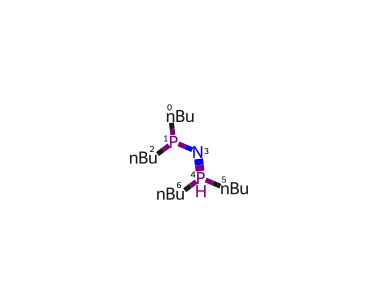 CCCCP(CCCC)N=[PH](CCCC)CCCC